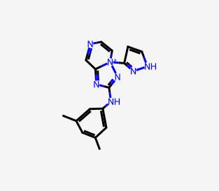 Cc1cc(C)cc(NC2=N[N+]3(c4cc[nH]n4)C=CN=CC3=N2)c1